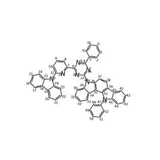 c1ccc(-c2nc(-c3cccc(-n4c5ccccc5c5ccccc54)n3)nc(-n3c4ccccc4c4c3ccc3c5ccccc5n(-c5ccccc5)c34)n2)cc1